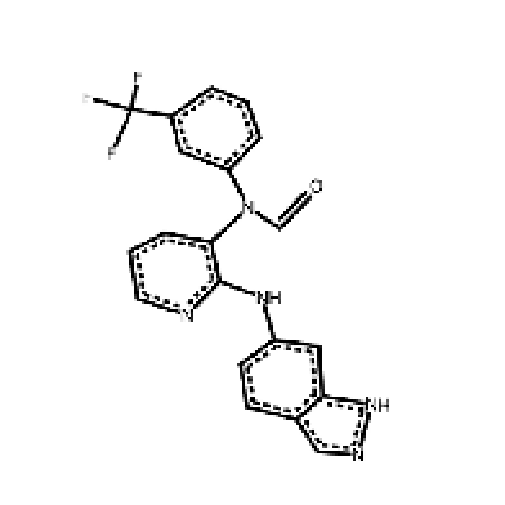 O=CN(c1cccc(C(F)(F)F)c1)c1cccnc1Nc1ccc2cn[nH]c2c1